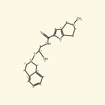 CN1CCc2oc(C(=O)NCC(O)CN3CCc4ccccc4C3)cc2C1